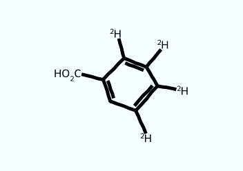 [2H]c1cc(C(=O)O)c([2H])c([2H])c1[2H]